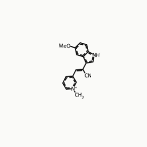 COc1ccc2[nH]cc(C(C#N)=Cc3ccc[n+](C)c3)c2c1